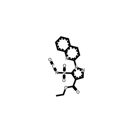 CCOC(=O)c1cnn(-c2ccc3ccccc3n2)c1S(=O)(=O)N=C=O